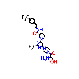 NC(CO)C(=O)N1CCN(c2cc(N3CCC[C@@H](C(=O)NCCc4ccc(C(F)(F)F)cc4)C3)nc(C(F)(F)F)n2)CC1